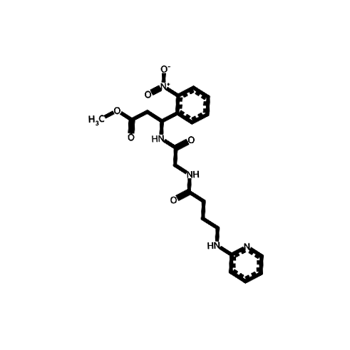 COC(=O)CC(NC(=O)CNC(=O)CCCNc1ccccn1)c1ccccc1[N+](=O)[O-]